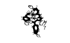 Cc1cc(Cc2ccc(=O)n(Cc3ccc(Cl)cc3)n2)n(C)c1C(=O)c1ccc(Cl)cc1